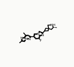 Cc1cn2nc(-c3cc(F)c4nc(C5CC6(CN[C@@H](C)C6)C5)cn4c3)cc(C)c2n1